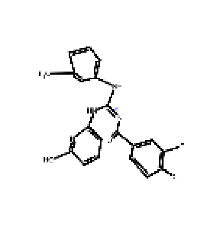 O=C(/N=C(/Nc1cccc(C(F)(F)F)c1)Nc1cccc(O)n1)c1ccc(Cl)c(F)c1